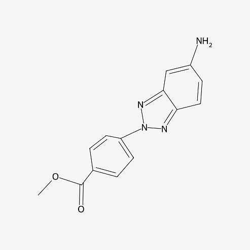 COC(=O)c1ccc(-n2nc3ccc(N)cc3n2)cc1